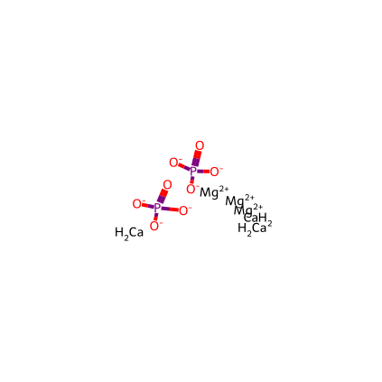 O=P([O-])([O-])[O-].O=P([O-])([O-])[O-].[CaH2].[CaH2].[CaH2].[Mg+2].[Mg+2].[Mg+2]